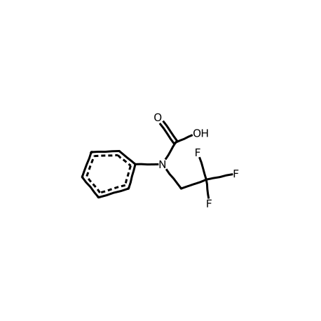 O=C(O)N(CC(F)(F)F)c1ccccc1